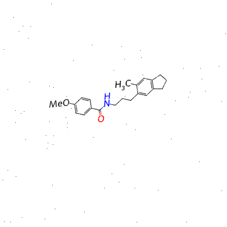 COc1ccc(C(=O)NCCCc2cc3c(cc2C)CCC3)cc1